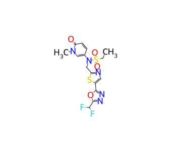 CCS(=O)(=O)N(Cc1ncc(-c2nnc(C(F)F)o2)s1)c1ccc(=O)n(C)c1